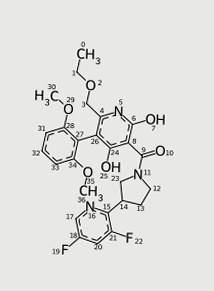 CCOCc1nc(O)c(C(=O)N2CCC(c3ncc(F)cc3F)C2)c(O)c1-c1c(OC)cccc1OC